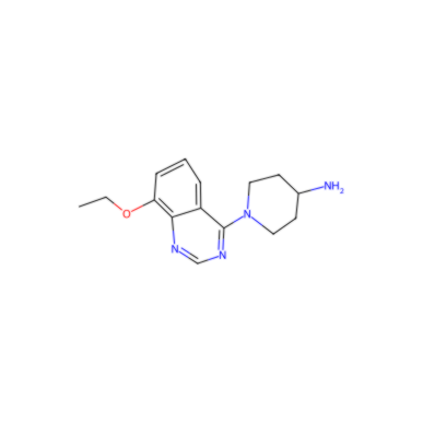 CCOc1cccc2c(N3CCC(N)CC3)ncnc12